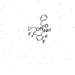 N=C(c1c(C(F)(F)F)ccc(F)c1F)N(OCC1CC1)C(=O)Cc1ccccc1